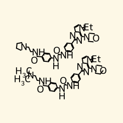 CCn1ccc2nc(-c3ccc(NC(=O)Nc4ccc(C(=O)NCCN(C)C)cc4)cc3)nc(N3CCOCC3)c21.CCn1ccc2nc(-c3ccc(NC(=O)Nc4ccc(C(=O)NCCN5CCCC5)cc4)cc3)nc(N3CCOCC3)c21